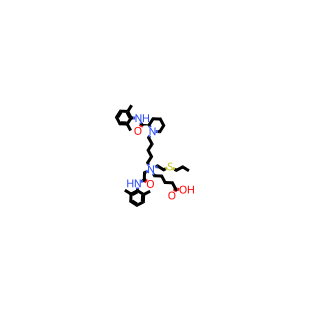 CCCSCC[N+](CCCCCN1CCCC[C@@H]1C(=O)Nc1c(C)cccc1C)(CCCCC(=O)O)CC(=O)Nc1c(C)cccc1C